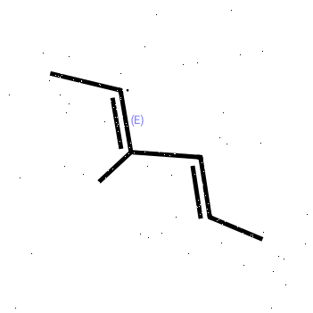 C/[C]=C(\C)C=CC